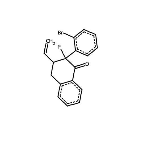 C=CC1Cc2ccccc2C(=O)C1(F)c1ccccc1Br